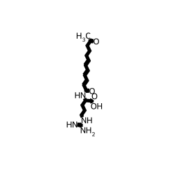 CC(=O)CCC/C=C/C=C/C=C/C(=O)NC(CCCNC(=N)N)C(=O)O